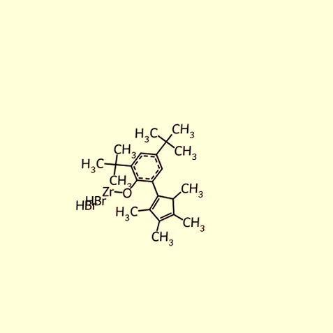 Br.Br.CC1=C(C)C(C)C(c2cc(C(C)(C)C)cc(C(C)(C)C)c2[O][Zr])=C1C